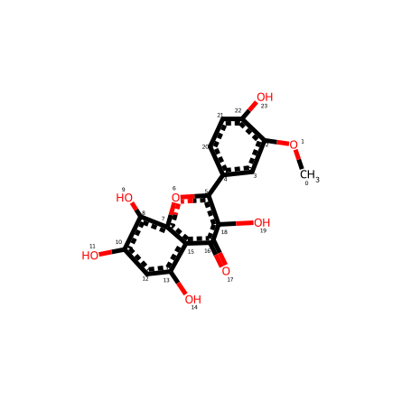 COc1cc(-c2oc3c(O)c(O)cc(O)c3c(=O)c2O)ccc1O